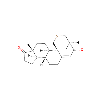 C[C@@]12CC[C@@H]3[C@H](CCC4=CC(=O)[C@@H]5CSC[C@@]43C5)[C@H]1CCC2=O